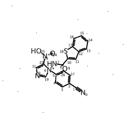 N#Cc1ccc([N+]2(NC(=O)c3cc4ccccc4s3)C=NC=C2[N+](=O)O)cc1